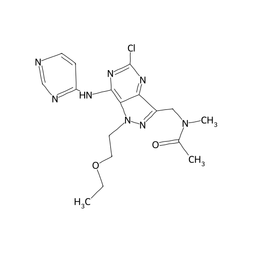 CCOCCn1nc(CN(C)C(C)=O)c2nc(Cl)nc(Nc3ccncn3)c21